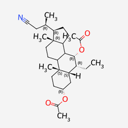 CC[C@H]1[C@@H](OC(C)=O)C2C3CC[C@H]([C@H](C)CC#N)[C@@]3(C)CCC2[C@@]2(C)CC[C@@H](OC(C)=O)C[C@@H]12